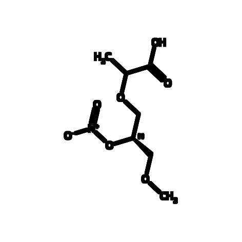 COC[C@H](COC(C)C(=O)O)O[N+](=O)[O-]